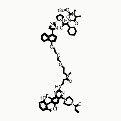 C=CC(=O)N1CCN(c2nc(NCCC(=O)N(C)CCOCCOCCOc3ccc(-c4csc([C@@H]5CCCN5C(=O)C(NC(=O)C(C)N(C)C(=O)OC(C)(C)C)C5CCCCC5)n4)c4ccccc34)nc3c(F)c(-c4c(O)cccc4F)c(Cl)cc23)CC1